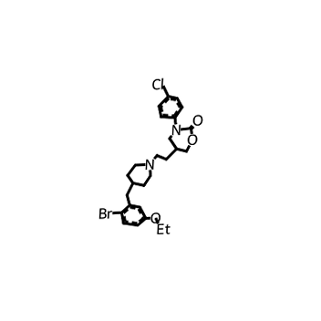 CCOc1ccc(Br)c(CC2CCN(CCC3COC(=O)N(c4ccc(Cl)cc4)C3)CC2)c1